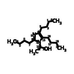 CCCCc1nc(CCCC)n(C(C)O)c1CCCC